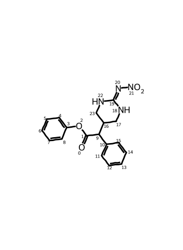 O=C(Oc1ccccc1)C(c1ccccc1)C1CNC(=N[N+](=O)[O-])NC1